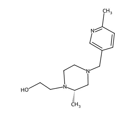 Cc1ccc(CN2CCN(CCO)[C@@H](C)C2)cn1